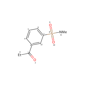 CCC(=O)c1cccc(S(=O)(=O)NC)c1